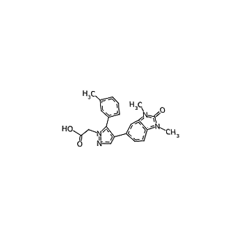 Cc1cccc(-c2c(-c3ccc4c(c3)n(C)c(=O)n4C)cnn2CC(=O)O)c1